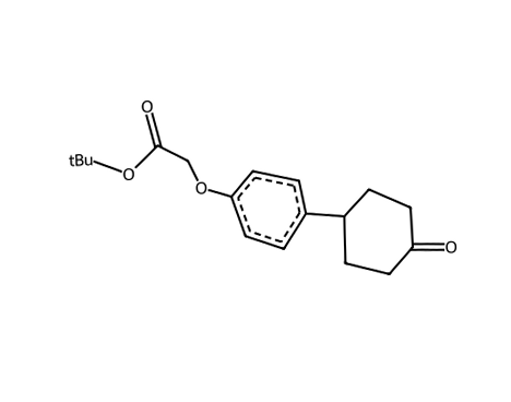 CC(C)(C)OC(=O)COc1ccc(C2CCC(=O)CC2)cc1